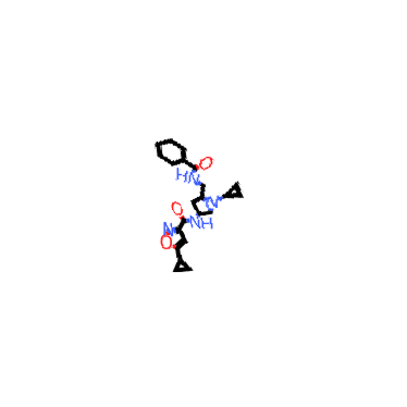 O=C(NC1CC(CNC(=O)C2CCCCC2)N(C2CC2)C1)c1cc(C2CC2)on1